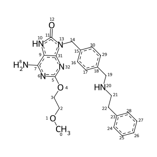 COCCOc1nc(N)c2[nH]c(=O)n(Cc3ccc(CNCCc4ccccc4)cc3)c2n1